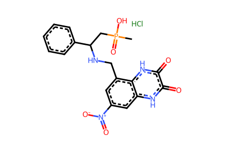 CP(=O)(O)CC(NCc1cc([N+](=O)[O-])cc2[nH]c(=O)c(=O)[nH]c12)c1ccccc1.Cl